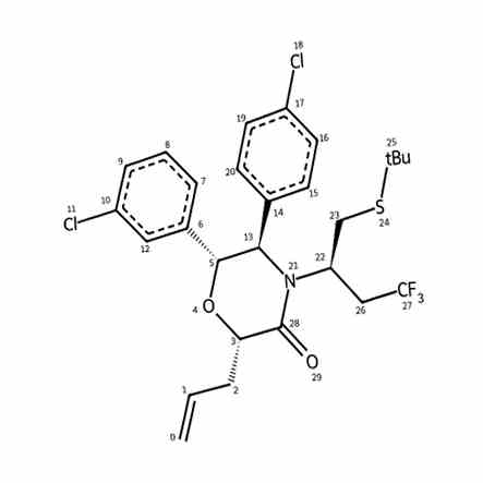 C=CC[C@@H]1O[C@H](c2cccc(Cl)c2)[C@@H](c2ccc(Cl)cc2)N([C@@H](CSC(C)(C)C)CC(F)(F)F)C1=O